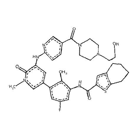 Cc1c(NC(=O)c2cc3c(s2)CCCC3)cc(F)cc1-c1cc(Nc2ccc(C(=O)N3CCN(CCO)CC3)cn2)c(=O)n(C)c1